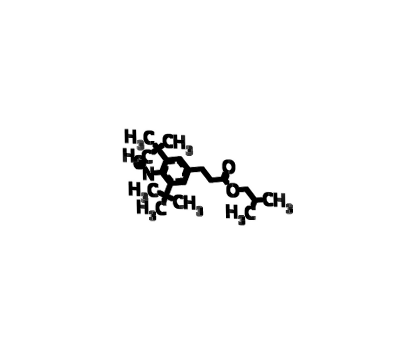 CC(C)COC(=O)CCc1cc(C(C)(C)C)c(N=O)c(C(C)(C)C)c1